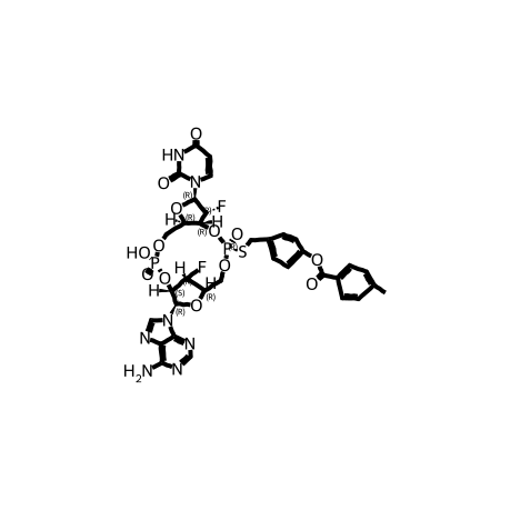 Cc1ccc(C(=O)Oc2ccc(CS[P@]3(=O)OC[C@H]4O[C@@H](n5cnc6c(N)ncnc65)[C@H](OP(=O)(O)OC[C@H]5O[C@@H](n6ccc(=O)[nH]c6=O)[C@H](F)[C@@H]5O3)[C@@H]4F)cc2)cc1